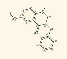 COc1ccc2c(c1)C(=O)C(Cc1ccccc1)CS2